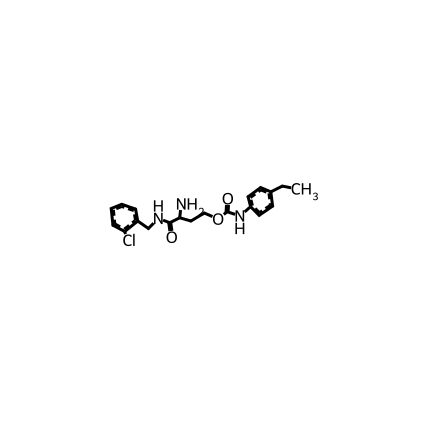 CCc1ccc(NC(=O)OCCC(N)C(=O)NCc2ccccc2Cl)cc1